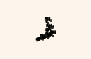 CC(=O)O.CC(=O)O.CC(=O)O.CC(=O)O.NCCN.[Y]